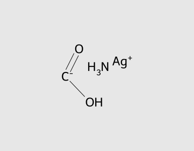 N.O=[C-]O.[Ag+]